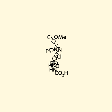 COc1cc(C(C)(C)c2cnc(SCc3ccc(S(=O)(=O)NC(=O)NCC(=O)O)cc3Cl)n2-c2ccc(F)cc2)ccc1Cl